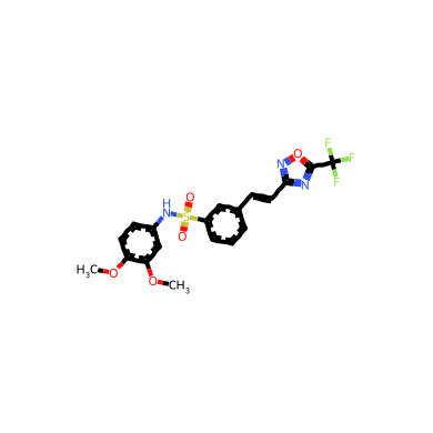 COc1ccc(NS(=O)(=O)c2cccc(C=Cc3noc(C(F)(F)F)n3)c2)cc1OC